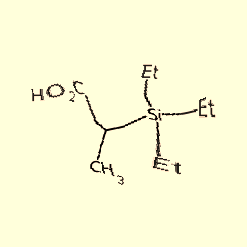 CC[Si](CC)(CC)C(C)C(=O)O